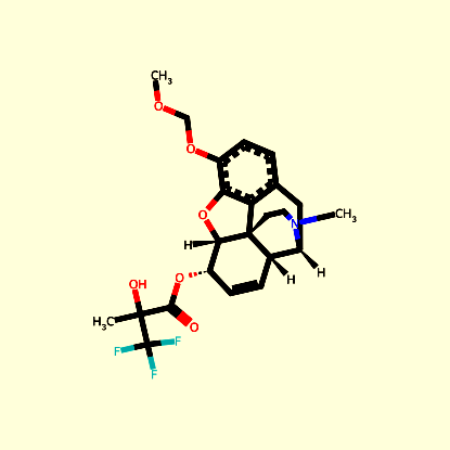 COCOc1ccc2c3c1O[C@H]1[C@@H](OC(=O)C(C)(O)C(F)(F)F)C=C[C@H]4[C@@H](C2)N(C)CC[C@@]341